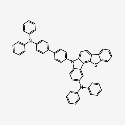 c1ccc(N(c2ccccc2)c2ccc(-c3ccc(-n4c5ccc(N(c6ccccc6)c6ccccc6)cc5c5c6sc7ccccc7c6ccc54)cc3)cc2)cc1